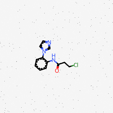 O=C(CCCl)Nc1ccccc1-n1ccnc1